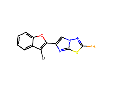 CCc1c(-c2cn3nc(P)sc3n2)oc2ccccc12